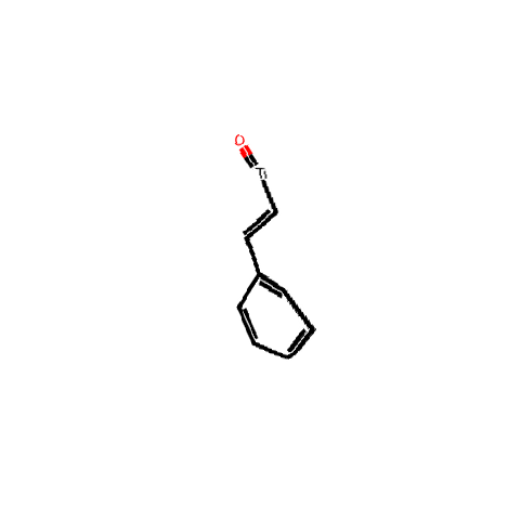 [O]=[Ti][CH]=Cc1ccccc1